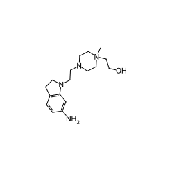 C[N+]1(CCO)CCN(CCN2CCc3ccc(N)cc32)CC1